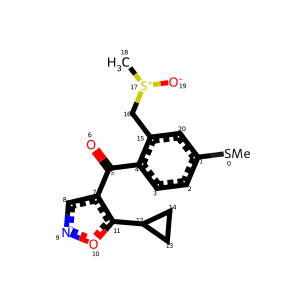 CSc1ccc(C(=O)c2cnoc2C2CC2)c(C[S+](C)[O-])c1